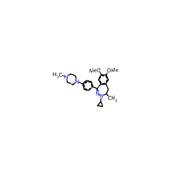 COc1cc2c(cc1OC)C(c1ccc(N3CCN(C)CC3)cc1)=NN(C1CC1)C(C)C2